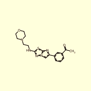 CC(=O)c1cccc(-c2cn3nc(NCCN4CCOCC4)sc3n2)c1